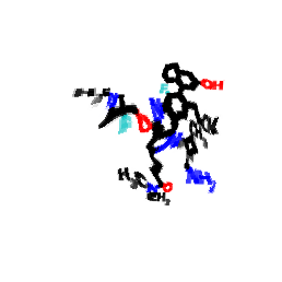 C[C@H]1C[C@H](CN)[C@@H]1n1c(CCC(=O)N(C)C)cc2c(OCC3(F)CN(C)C3)nc3c(F)c(-c4cc(O)cc5ccccc45)c(CCC#N)cc3c21